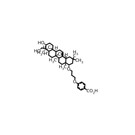 CC1(C)C[C@@H](OCCCOc2ccc(C(=O)O)cc2)[C@]2(C)CC[C@]3(C)C(=CC[C@@H]4[C@@]5(C)CC[C@H](O)[C@](C)(CO)[C@@H]5CC[C@]43C)[C@@H]2C1